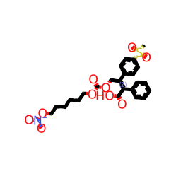 CS(=O)(=O)c1ccc(/C(COC(=O)OCCCCCCO[N+](=O)[O-])=C(/C(=O)O)c2ccccc2)cc1